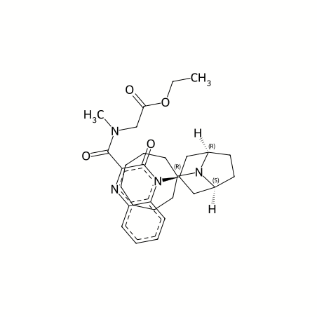 CCOC(=O)CN(C)C(=O)c1nc2ccccc2n([C@H]2C[C@H]3CC[C@@H](C2)N3C2CCCCCCC2)c1=O